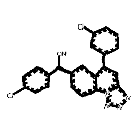 N#CC(c1ccc(Cl)cc1)c1ccc2c(c1)c(-c1cccc(Cl)c1)cc1nnnn12